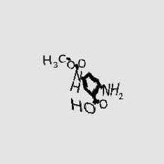 CCOC(=O)Nc1ccc(N)c(C(=O)O)c1